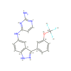 Nc1nccc(Nc2ccc3[nH]nc(-c4cccc(OC(F)(F)F)c4)c3c2)n1